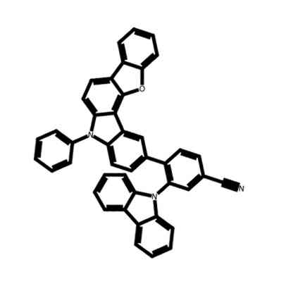 N#Cc1ccc(-c2ccc3c(c2)c2c4oc5ccccc5c4ccc2n3-c2ccccc2)c(-n2c3ccccc3c3ccccc32)c1